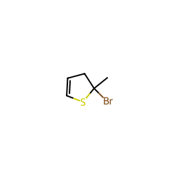 CC1(Br)CC=CS1